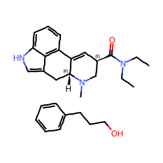 CCN(CC)C(=O)[C@@H]1C=C2c3cccc4[nH]cc(c34)C[C@H]2N(C)C1.OCCCc1ccccc1